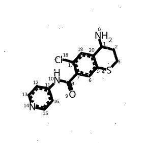 NC1CCSc2cc(C(=O)Nc3ccncc3)c(Cl)cc21